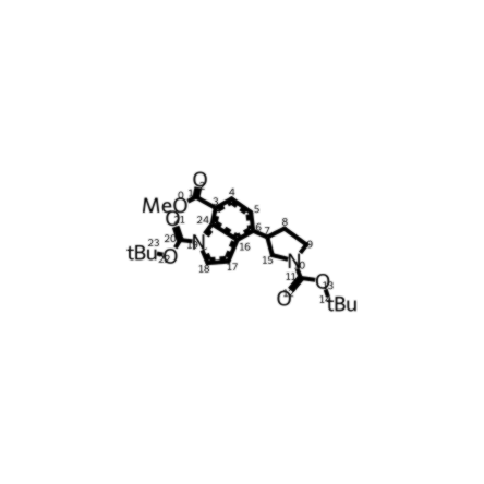 COC(=O)c1ccc(C2CCN(C(=O)OC(C)(C)C)C2)c2ccn(C(=O)OC(C)(C)C)c12